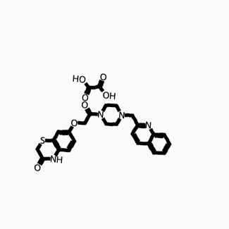 O=C(O)C(=O)O.O=C1CSc2cc(OCC(=O)N3CCN(Cc4ccc5ccccc5n4)CC3)ccc2N1